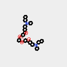 c1ccc(N(c2ccc3ccccc3c2)c2ccc3cc4c(cc3c2)oc2cc3c(cc24)Oc2cccc4c2B3c2cc3oc5cc6cc(N(c7ccccc7)c7ccc8ccccc8c7)ccc6cc5c3cc2O4)cc1